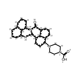 O=C(O)N1CCN(c2ccc3c4c2cccc4c(=O)n2c4cccc5cccc(nc32)c54)CC1